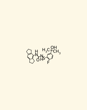 CC(C)(O)c1ccc(F)c(SNC(=O)Nc2c3c(cc4c2CCC4)CCC3)c1